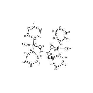 CCC(COP(=O)(c1ccccc1)c1ccccc1)OP(=O)(c1ccccc1)c1ccccc1